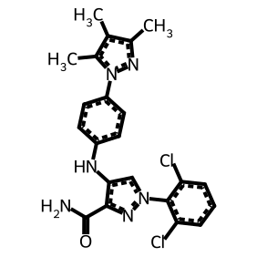 Cc1nn(-c2ccc(Nc3cn(-c4c(Cl)cccc4Cl)nc3C(N)=O)cc2)c(C)c1C